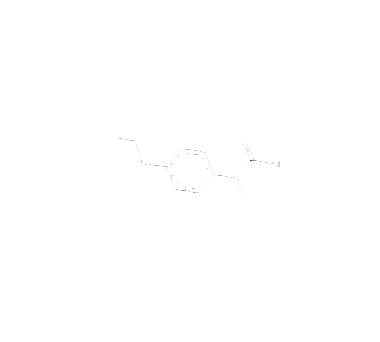 CN(C(N)=O)c1ccc(NCC(=O)O)cc1